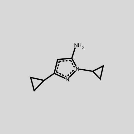 Nc1cc(C2CC2)nn1C1CC1